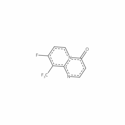 O=c1ccnc2c(C(F)(F)F)c(F)ccn12